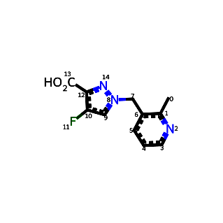 Cc1ncccc1Cn1cc(F)c(C(=O)O)n1